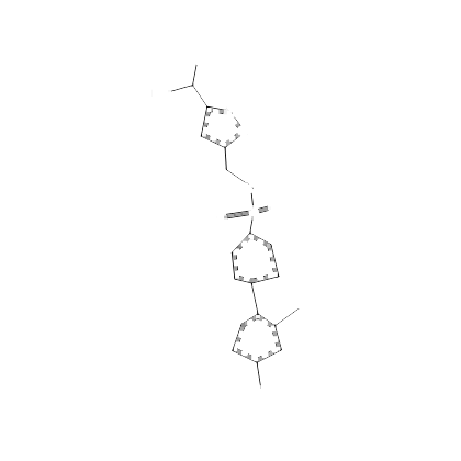 CC(O)c1cc(CNS(=O)(=O)c2ccc(-c3ccc(Cl)cc3Cl)cc2)sn1